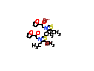 Cc1sc[n+](CC(=O)c2ccco2)c1C.Cc1sc[n+](CC(=O)c2ccco2)c1C.[Br-].[Br-]